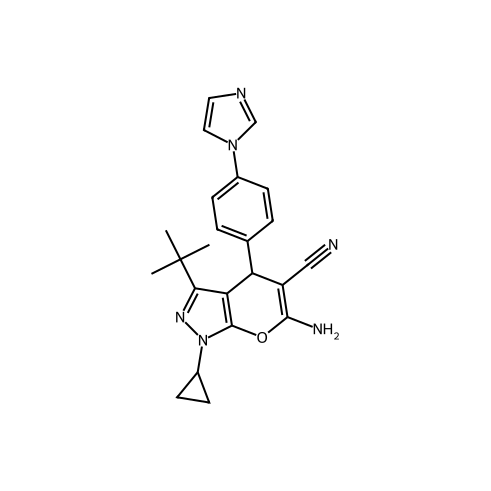 CC(C)(C)c1nn(C2CC2)c2c1C(c1ccc(-n3ccnc3)cc1)C(C#N)=C(N)O2